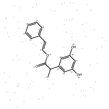 CC(C(=O)OC=Cc1ccccc1)c1cc(O)cc(O)c1